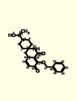 CB(O)N1CCC2(CC1)Cn1ccc(=O)c(OCc3ccccc3)c1C(=O)N2